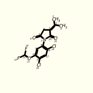 CC(C)=C1CC(=O)N(c2cc(OC(F)F)c(Cl)cc2Cl)C1=O